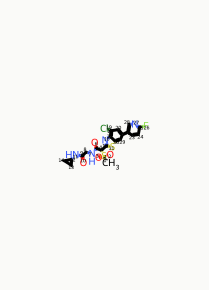 CS(=O)(=O)C(C(=O)NCC(=O)NC1CC1)c1nc2c(Cl)cc(-c3ccc(F)nc3)cc2s1